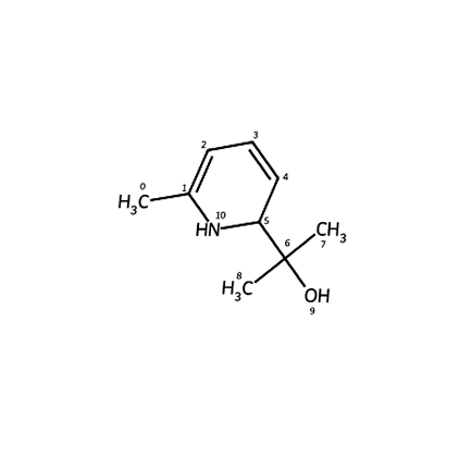 CC1=CC=CC(C(C)(C)O)N1